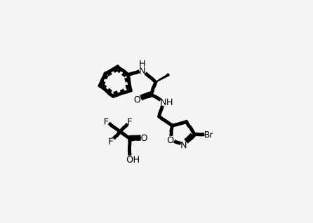 C[C@H](Nc1ccccc1)C(=O)NCC1CC(Br)=NO1.O=C(O)C(F)(F)F